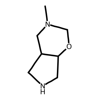 CN1COC2CNCC2C1